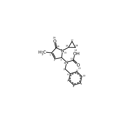 CC1=CC(N(Cc2ccccc2)C(=O)O)N(C2CC2)C1=O